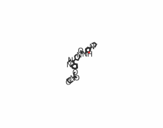 O=C(COc1ccc2c(C3CCN(C(=O)Nc4ccc(N5CCCC5)cc4)CC3)ncnc2c1)N1CCOCC1